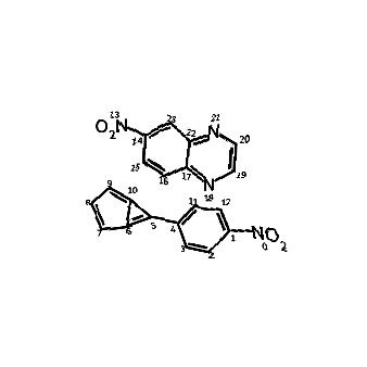 O=[N+]([O-])c1ccc(-c2c3cccc2-3)cc1.O=[N+]([O-])c1ccc2nccnc2c1